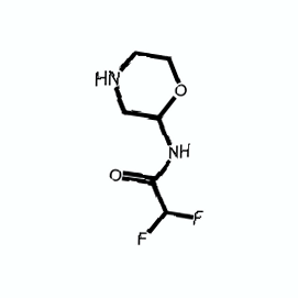 O=C(NC1CNCCO1)C(F)F